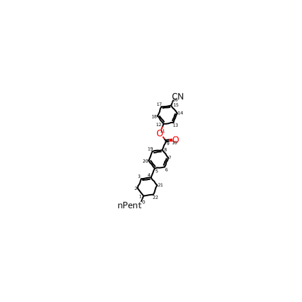 CCCCCC1CC=C(c2ccc(C(=O)Oc3ccc(C#N)cc3)cc2)CC1